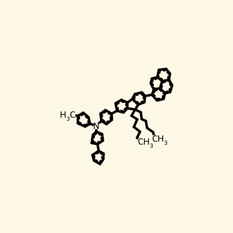 CCCCCCC1(CCCCCC)c2cc(-c3ccc(N(c4ccc(C)cc4)c4ccc(-c5ccccc5)cc4)cc3)ccc2-c2ccc(-c3ccc4ccc5cccc6ccc3c4c56)cc21